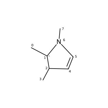 C[C]1C(C)C=CN1C